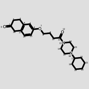 O=C1CCc2cc(OCCCC(=O)N3CCN(C4CCCCC4)CC3)ccc2C1